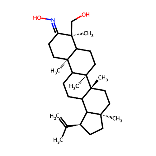 C=C(C)[C@@H]1CC[C@]2(C)CC[C@]3(C)C(CCC4[C@@]5(C)CC/C(=N\O)[C@@](C)(CO)C5CC[C@]43C)C12